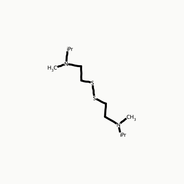 CC(C)N(C)CCSSCCN(C)C(C)C